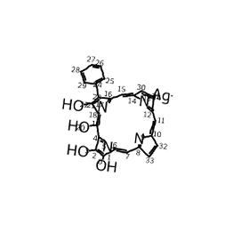 OC1=C(O)C2=NC1=CC1=NC(=CC3=NC(=CC4=NC(=C2O)C(O)=C4c2ccccc2)C=C3)C=C1.[Ag]